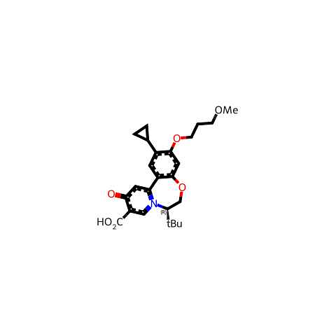 COCCCOc1cc2c(cc1C1CC1)-c1cc(=O)c(C(=O)O)cn1[C@H](C(C)(C)C)CO2